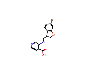 O=C(O)c1ccncc1NCC1COc2cc(Br)ccc21